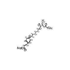 C=C(CC(=O)CO)C(=O)OCCCCCCOc1ccc(/C=C/C(=O)OC)cc1